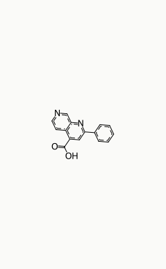 O=C(O)c1cc(-c2ccccc2)nc2cnccc12